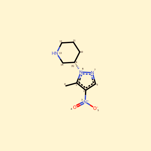 Cc1c([N+](=O)[O-])cnn1[C@H]1CCCNC1